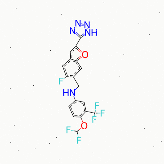 Fc1cc2cc(-c3nnn[nH]3)oc2cc1CNc1ccc(OC(F)F)c(C(F)(F)F)c1